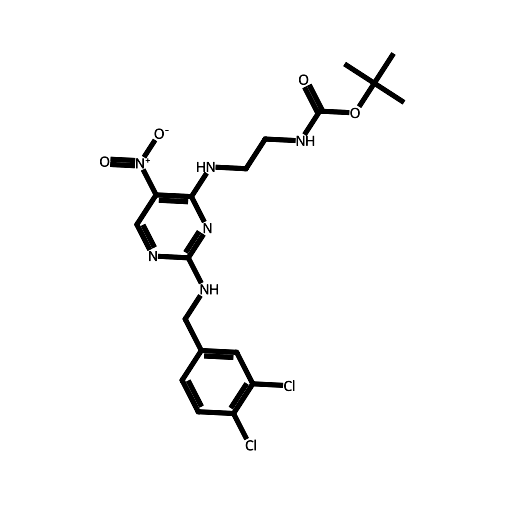 CC(C)(C)OC(=O)NCCNc1nc(NCc2ccc(Cl)c(Cl)c2)ncc1[N+](=O)[O-]